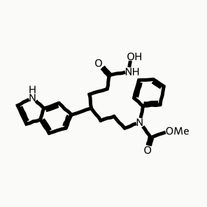 COC(=O)N(CCCC(CCC(=O)NO)c1ccc2cc[nH]c2c1)c1ccccc1